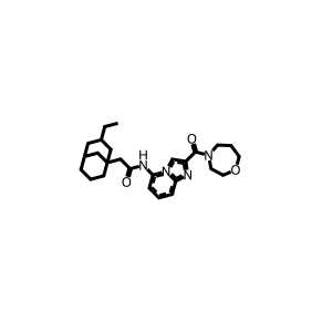 CCC1CC2CCCC(CC(=O)Nc3cccc4nc(C(=O)N5CCCOCC5)cn34)(C1)C2